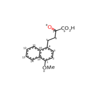 COc1ccc(CCC(=O)C(=O)O)c2ccccc12